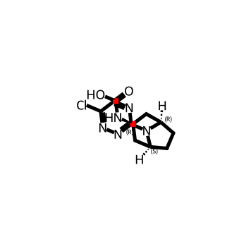 O=C(O)N[C@H]1C[C@H]2CC[C@@H](C1)N2c1ncc(Cl)nn1